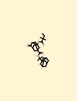 CCC(C)(C)C(=O)OC12CC3CC(C(=O)OC(C)(C)C45CC6CC(CC(C6)C4)C5)(CC(C1)C3=O)C2